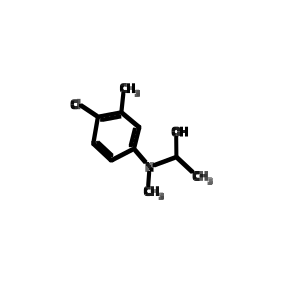 Cc1cc(N(C)C(C)O)ccc1Cl